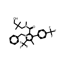 Cc1c(-c2ccc(C(F)(F)F)cc2)c(C(=O)N(C)CC(C)(C)CO)n(Cc2ccccc2)c1C(F)(F)F